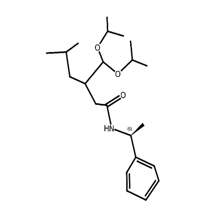 CC(C)CC(CC(=O)N[C@@H](C)c1ccccc1)C(OC(C)C)OC(C)C